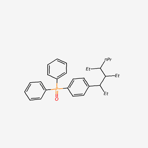 CCCC(CC)C(CC)C(CC)c1ccc(P(=O)(c2ccccc2)c2ccccc2)cc1